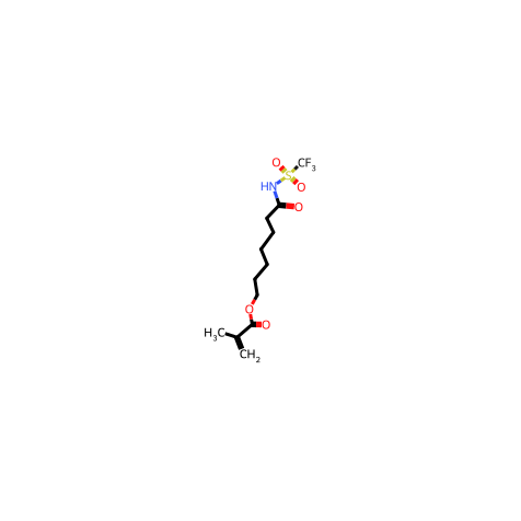 C=C(C)C(=O)OCCCCCCC(=O)NS(=O)(=O)C(F)(F)F